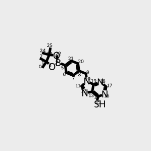 CC1(C)OB(c2ccc(Cn3cnc4c(S)ncnc43)cc2)OC1(C)C